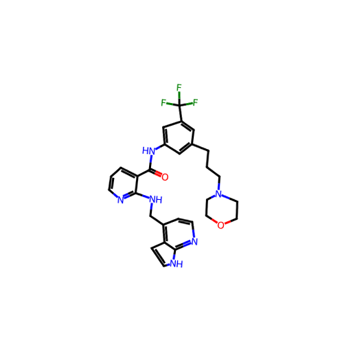 O=C(Nc1cc(CCCN2CCOCC2)cc(C(F)(F)F)c1)c1cccnc1NCc1ccnc2[nH]ccc12